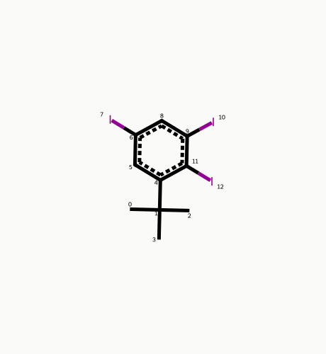 CC(C)(C)c1cc(I)cc(I)c1I